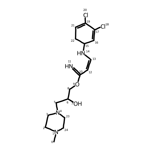 CN1CCN(CC(O)COC(=N)/C=C\NC2C=C(Cl)C(Cl)=CC2)CC1